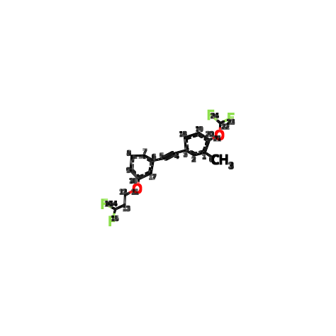 Cc1cc(C#Cc2cccc(OCCC(F)F)c2)ccc1OC(F)F